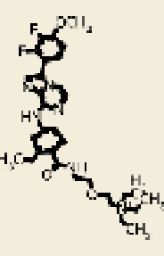 CCc1cc(Nc2nccn3c(-c4ccc(OC)c(F)c4F)cnc23)ccc1C(=O)NCCOCC[N+](CC)(CC)CC